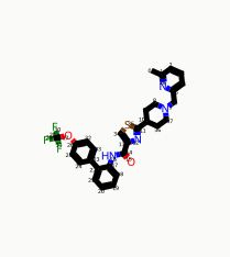 Cc1cccc(CN2CCC(c3nc(C(=O)Nc4ccccc4-c4ccc(OC(F)(F)F)cc4)cs3)CC2)n1